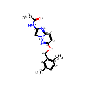 COC(=O)Nc1cn2nc(OCc3cc(C)ccc3C)ccc2n1